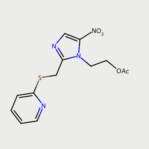 CC(=O)OCCn1c([N+](=O)[O-])cnc1CSc1ccccn1